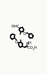 CCO/C(=C\c1ccc(OCc2ccccc2)c(C)c1)C(=O)O.Cc1cc(C=O)ccc1OCc1ccccc1